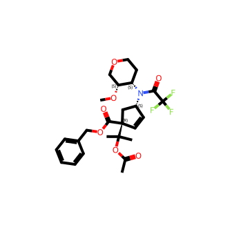 CO[C@@H]1COCC[C@@H]1N(C(=O)C(F)(F)F)[C@@H]1C=C[C@@](C(=O)OCc2ccccc2)(C(C)(C)OC(C)=O)C1